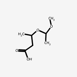 COC(C)OC(C)CC(=O)O